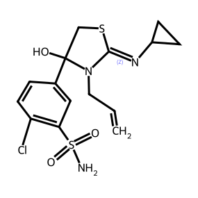 C=CCN1/C(=N/C2CC2)SCC1(O)c1ccc(Cl)c(S(N)(=O)=O)c1